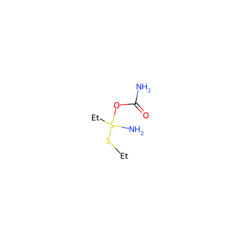 CCSS(N)(CC)OC(N)=O